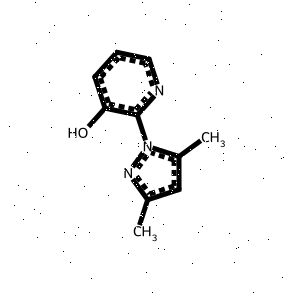 Cc1cc(C)n(-c2ncccc2O)n1